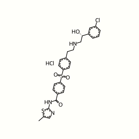 Cc1cnc(NC(=O)c2ccc(S(=O)(=O)c3ccc(CCNC[C@H](O)c4cccc(Cl)c4)cc3)cc2)s1.Cl